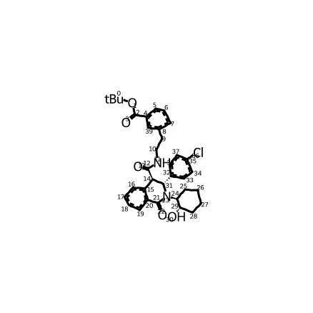 CC(C)(C)OC(=O)c1cccc(CCNC(=O)[C@@H]2c3ccccc3C(=O)N([C@H]3CCCC[C@@H]3O)[C@H]2c2ccc(Cl)cc2)c1